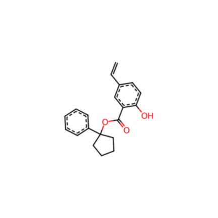 C=Cc1ccc(O)c(C(=O)OC2(c3ccccc3)CCCC2)c1